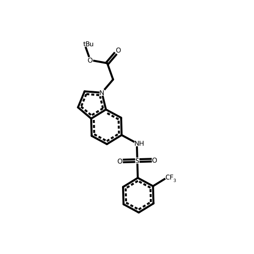 CC(C)(C)OC(=O)Cn1ccc2ccc(NS(=O)(=O)c3ccccc3C(F)(F)F)cc21